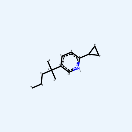 CCCC(C)(C)c1ccc(C2CC2)nc1